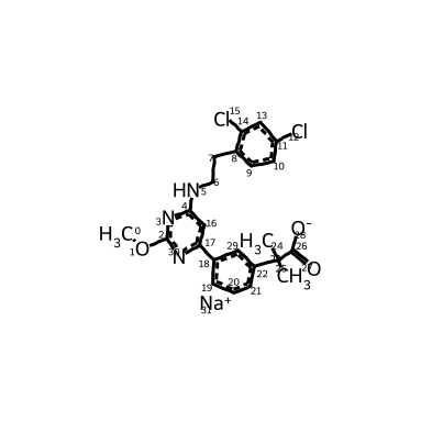 COc1nc(NCCc2ccc(Cl)cc2Cl)cc(-c2cccc(C(C)(C)C(=O)[O-])c2)n1.[Na+]